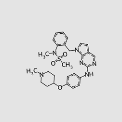 CN1CCC(Oc2ccc(Nc3ncc4ccn(Cc5ccccc5N(C)S(C)(=O)=O)c4n3)cc2)CC1